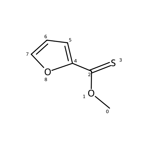 COC(=S)c1ccco1